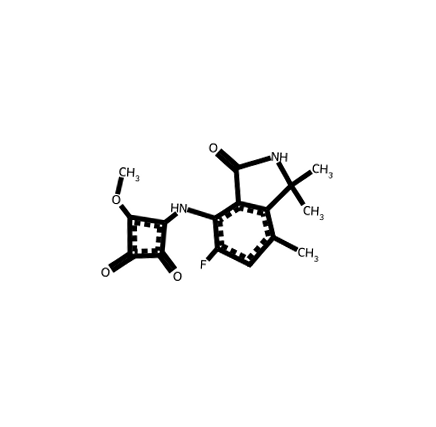 COc1c(Nc2c(F)cc(C)c3c2C(=O)NC3(C)C)c(=O)c1=O